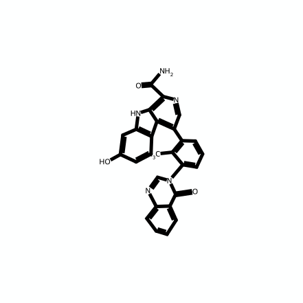 Cc1c(-c2cnc(C(N)=O)c3[nH]c4cc(O)ccc4c23)cccc1-n1cnc2ccccc2c1=O